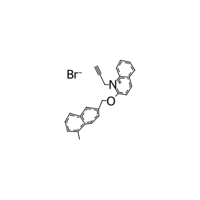 C#CC[n+]1c(OCc2ccc3c(C)cccc3c2)ccc2ccccc21.[Br-]